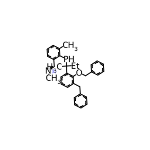 CCC(C)(Pc1c(C)cccc1/C=N/C)c1cccc(Cc2ccccc2)c1OCc1ccccc1